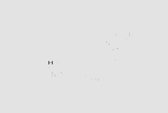 CCCCC[C@H](CSSC[C@@H](C)C(=O)N1CCC[C@H]1C(=O)O)SSC[C@@H](C)C(=O)N1CCC[C@H]1C(=O)O